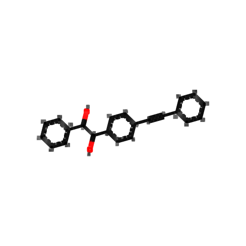 O=C(C(=O)c1ccc(C#Cc2ccccc2)cc1)c1ccccc1